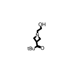 CC(C)(C)C(=O)C1CN(CCO)C1